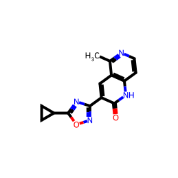 Cc1nccc2[nH]c(=O)c(-c3noc(C4CC4)n3)cc12